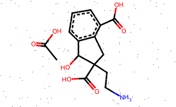 CC(=O)O.NCCC1(C(=O)O)Cc2c(C(=O)O)cccc2C1O